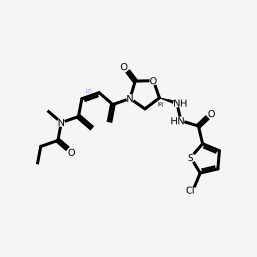 C=C(/C=C\C(=C)N1C[C@H](NNC(=O)c2ccc(Cl)s2)OC1=O)N(C)C(=O)CC